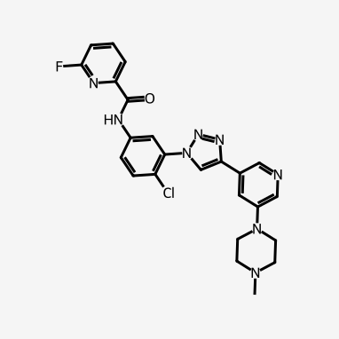 CN1CCN(c2cncc(-c3cn(-c4cc(NC(=O)c5cccc(F)n5)ccc4Cl)nn3)c2)CC1